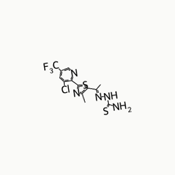 C/C(=N\NC(N)=S)c1sc(-c2ncc(C(F)(F)F)cc2Cl)nc1C